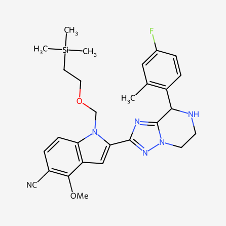 COc1c(C#N)ccc2c1cc(-c1nc3n(n1)CCNC3c1ccc(F)cc1C)n2COCC[Si](C)(C)C